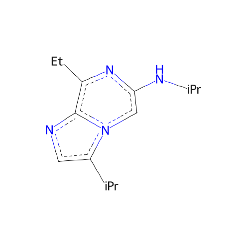 CCc1nc(NC(C)C)cn2c(C(C)C)cnc12